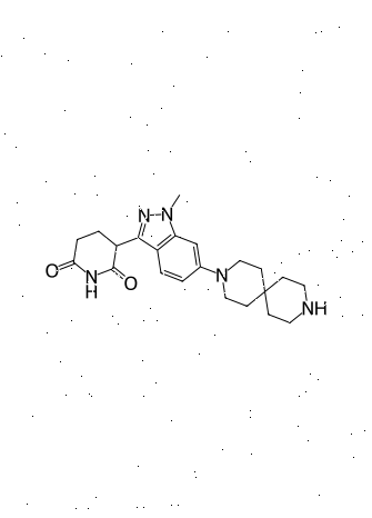 Cn1nc(C2CCC(=O)NC2=O)c2ccc(N3CCC4(CCNCC4)CC3)cc21